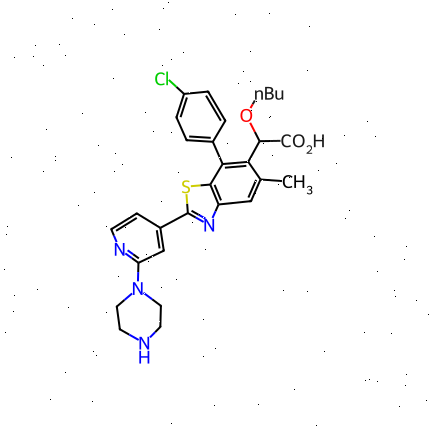 CCCCOC(C(=O)O)c1c(C)cc2nc(-c3ccnc(N4CCNCC4)c3)sc2c1-c1ccc(Cl)cc1